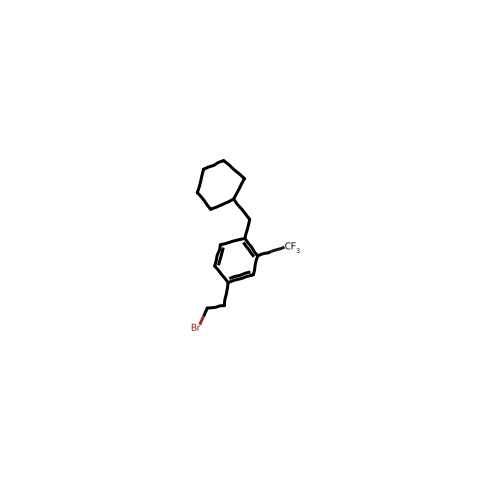 FC(F)(F)c1cc(CCBr)ccc1CC1CCCCC1